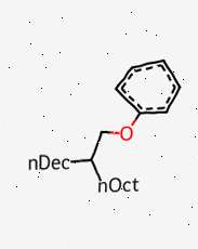 CCCCCCCCCCC(CCCCCCCC)COc1ccccc1